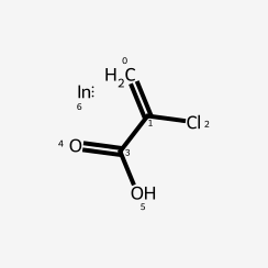 C=C(Cl)C(=O)O.[In]